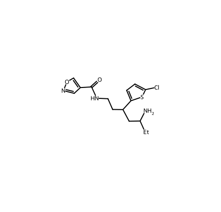 CCC(N)CC(CCNC(=O)c1cnoc1)c1ccc(Cl)s1